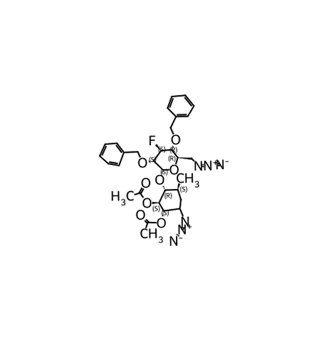 CC(=O)O[C@H]1[C@H](O[C@H]2O[C@H](CN=[N+]=[N-])[C@@H](OCc3ccccc3)[C@H](F)[C@H]2OCc2ccccc2)[C@@H](C)CC(N=[N+]=[N-])[C@@H]1OC(C)=O